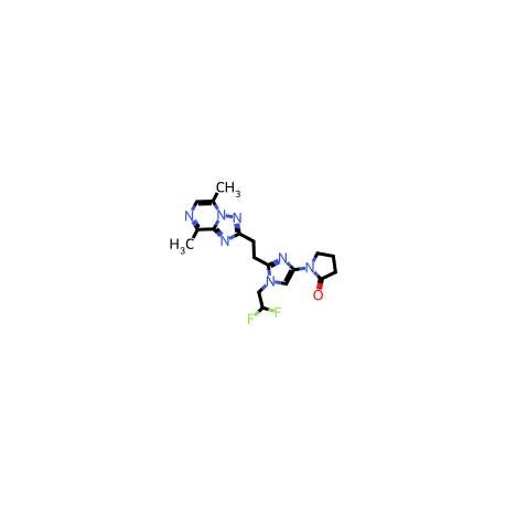 Cc1ncc(C)n2nc(CCc3nc(N4CCCC4=O)cn3CC(F)F)nc12